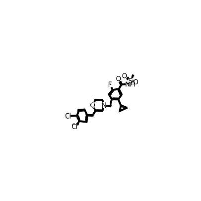 CS(=O)(=O)NC(=O)c1cc(C2CC2)c(CN2CCOC(Cc3ccc(Cl)c(Cl)c3)C2)cc1F